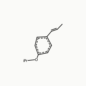 CC=Cc1ccc(OC(C)C)cc1